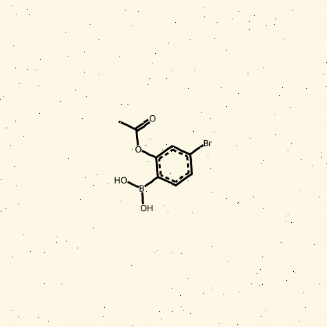 CC(=O)Oc1cc(Br)ccc1B(O)O